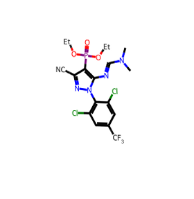 CCOP(=O)(OCC)c1c(C#N)nn(-c2c(Cl)cc(C(F)(F)F)cc2Cl)c1N=CN(C)C